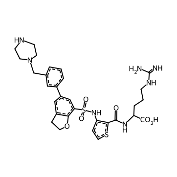 N=C(N)NCCCC(NC(=O)c1sccc1NS(=O)(=O)c1cc(-c2cccc(CN3CCNCC3)c2)cc2c1OCC2)C(=O)O